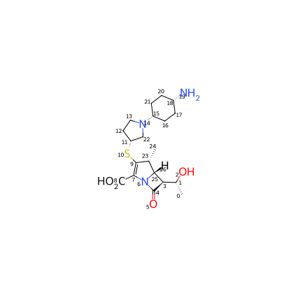 C[C@@H](O)[C@H]1C(=O)N2C(C(=O)O)=C(S[C@@H]3CCN([C@H]4CC[C@@H](N)CC4)C3)[C@H](C)[C@H]12